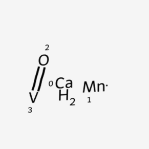 [CaH2].[Mn].[O]=[V]